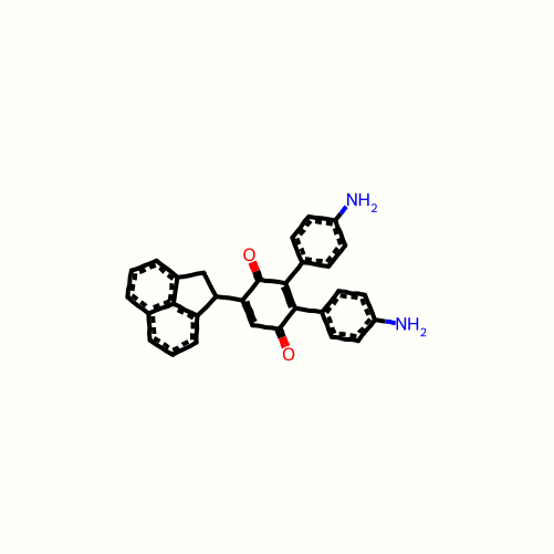 Nc1ccc(C2=C(c3ccc(N)cc3)C(=O)C(C3Cc4cccc5cccc3c45)=CC2=O)cc1